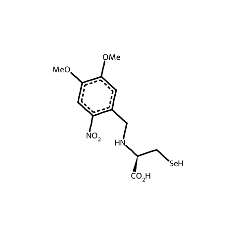 COc1cc(CN[C@@H](C[SeH])C(=O)O)c([N+](=O)[O-])cc1OC